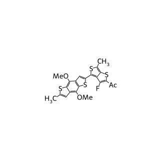 COc1c2cc(-c3sc(C)c4sc(C(C)=O)c(F)c34)sc2c(OC)c2cc(C)sc12